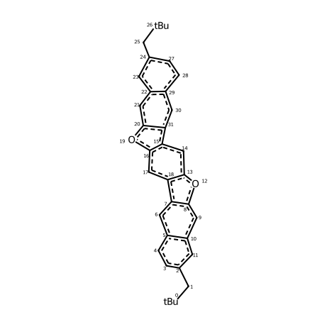 CC(C)(C)Cc1ccc2cc3c(cc2c1)oc1cc2c(cc13)oc1cc3cc(CC(C)(C)C)ccc3cc12